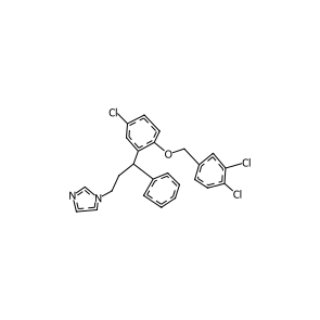 Clc1ccc(OCc2ccc(Cl)c(Cl)c2)c(C(CCn2ccnc2)c2ccccc2)c1